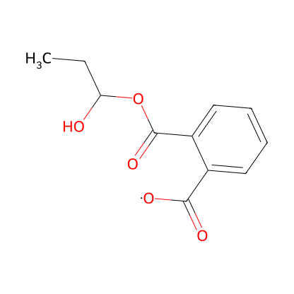 CCC(O)OC(=O)c1ccccc1C([O])=O